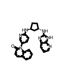 O=c1ccc2ccccc2n1-c1ccc(N[C@H]2CC[C@H](Nc3nc4cccnc4[nH]3)C2)nc1